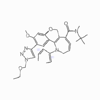 C/C=C\C(=C/C)N1CC=C=C(C(=O)N(C)C(C)(C)C)C2=C1c1cc(-c3cn(COCC)nn3)c(OC)cc1OC2